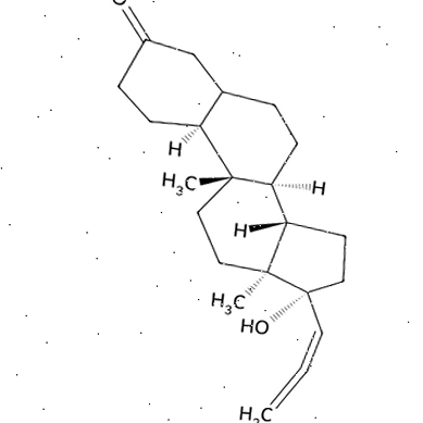 C=C=C[C@]1(O)CC[C@H]2[C@@H]3CCC4CC(=O)CC[C@@H]4[C@@]3(C)CC[C@@]21C